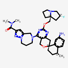 C[C@H]1CC[C@@]2(Cc3nc(OC[C@@]45CCCN4C[C@H](F)C5)nc(N4CCCn5nc(C(=O)N(C)C)cc5C4)c3CO2)c2cc(N)ccc21